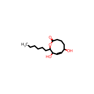 CCCCCCC1OC(=O)CCCC(O)/C=C\C1O